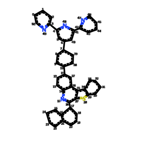 c1ccc(-c2cc(-c3ccc(-c4ccc5nc(-c6cccc7ccccc67)c6sc7ccccc7c6c5c4)cc3)cc(-c3ccccn3)n2)nc1